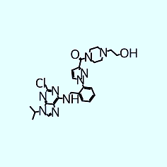 CC(C)n1cnc2c(NCc3ccccc3-n3ccc(C(=O)N4CCN(CCO)CC4)n3)nc(Cl)nc21